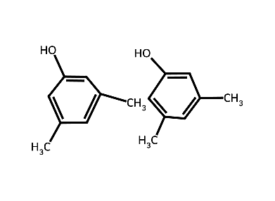 Cc1cc(C)cc(O)c1.Cc1cc(C)cc(O)c1